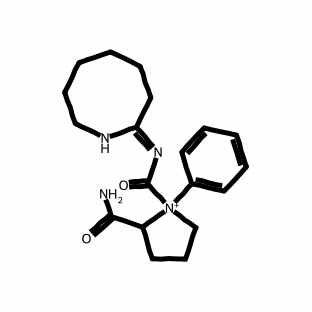 NC(=O)C1CCC[N+]1(C(=O)N=C1CCCCCCN1)c1ccccc1